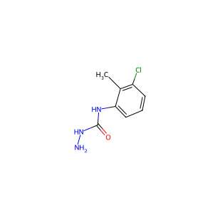 Cc1c(Cl)cccc1NC(=O)NN